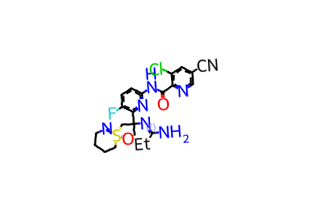 CC/C(N)=N\C(C)(CS1(=O)=NCCCC1)c1nc(NC(=O)c2ncc(C#N)cc2Cl)ccc1F